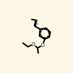 C/C=C/c1cccc(OC(C)OCC)c1